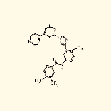 Cc1ccc(NC(=O)c2ccc(C)c(C(F)(F)F)c2)cc1-n1cc(-c2cncc(-c3ccncc3)c2)cn1